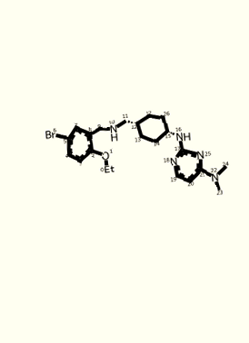 CCOc1ccc(Br)cc1CNC[C@H]1CC[C@@H](Nc2nccc(N(C)C)n2)CC1